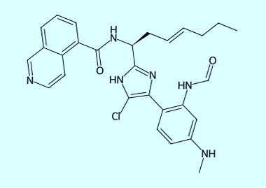 CCC/C=C/C[C@H](NC(=O)c1cccc2cnccc12)c1nc(-c2ccc(NC)cc2NC=O)c(Cl)[nH]1